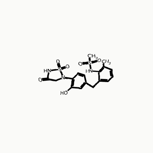 Cc1cccc(Cc2ccc(N3CC(=O)NS3(=O)=O)c(O)c2)c1NS(C)(=O)=O